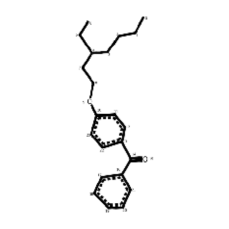 CCCCC(CC)CCOc1ccc(C(=O)c2ccccc2)cc1